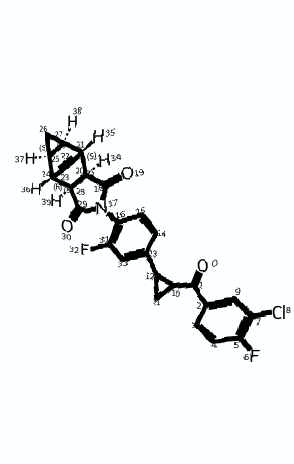 O=C(c1ccc(F)c(Cl)c1)C1CC1c1ccc(N2C(=O)[C@@H]3[C@@H]4C=C[C@@H]([C@H]5C[C@@H]45)[C@@H]3C2=O)c(F)c1